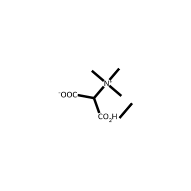 CC.C[N+](C)(C)C(C(=O)[O-])C(=O)O